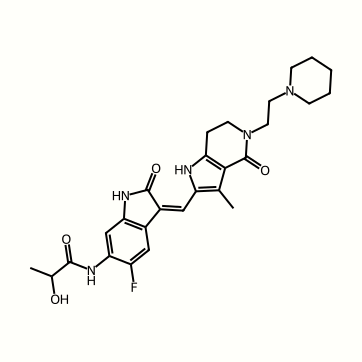 Cc1c(C=C2C(=O)Nc3cc(NC(=O)C(C)O)c(F)cc32)[nH]c2c1C(=O)N(CCN1CCCCC1)CC2